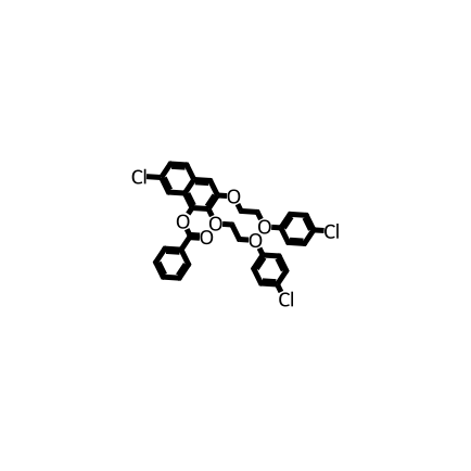 O=C(Oc1c(OCCOc2ccc(Cl)cc2)c(OCCOc2ccc(Cl)cc2)cc2ccc(Cl)cc12)c1ccccc1